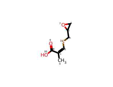 CC(=CSCC1CO1)C(=O)O